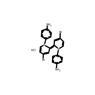 Cl.Nc1ccc(N2C=CC(Br)=CC2=C2C=C(Br)C=CN2c2ccc(N)cc2)cc1